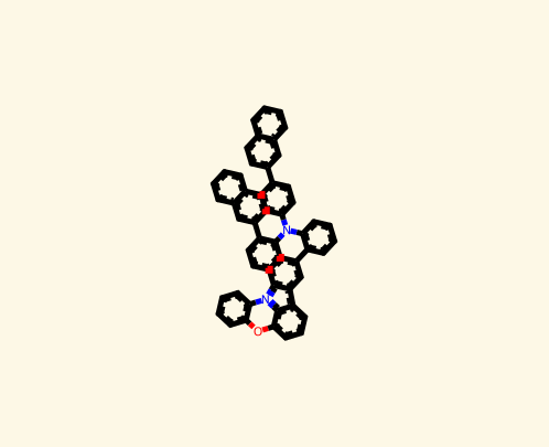 c1ccc2c(c1)Oc1cccc3c4cc(-c5ccccc5N(c5ccc(-c6ccc7ccccc7c6)cc5)c5ccccc5-c5ccc6ccccc6c5)ccc4n-2c13